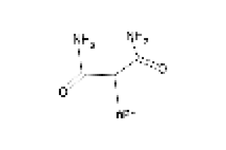 CCCC(C(N)=O)C(N)=O